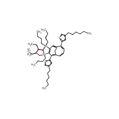 CCCCCCc1csc(C2=CC=CC3=C(c4cc(CCCCCC)cs4)[C]([Sn]([CH2]CCC)([CH2]CCC)[CH2]CCC)=[C]([Sn]([CH2]CCC)([CH2]CCC)[CH2]CCC)C=C2C3)c1